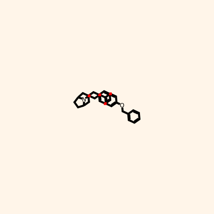 c1ccc(COc2ccc(CCCN3C4CCC3CC(Cc3ccccc3)C4)cc2)cc1